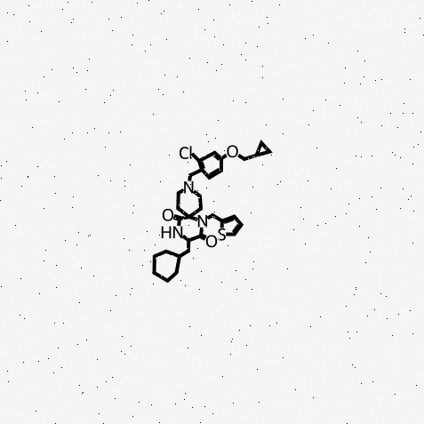 O=C1C(CC2CCCCC2)NC(=O)C2(CCN(Cc3ccc(OCC4CC4)cc3Cl)CC2)N1Cc1cccs1